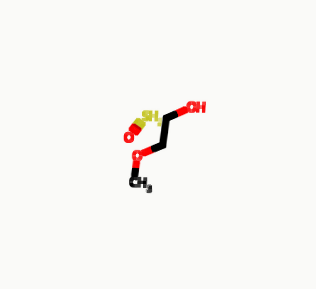 COCCO.O=[SH2]